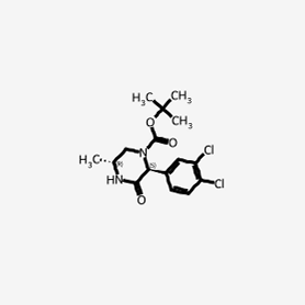 C[C@@H]1CN(C(=O)OC(C)(C)C)[C@@H](c2ccc(Cl)c(Cl)c2)C(=O)N1